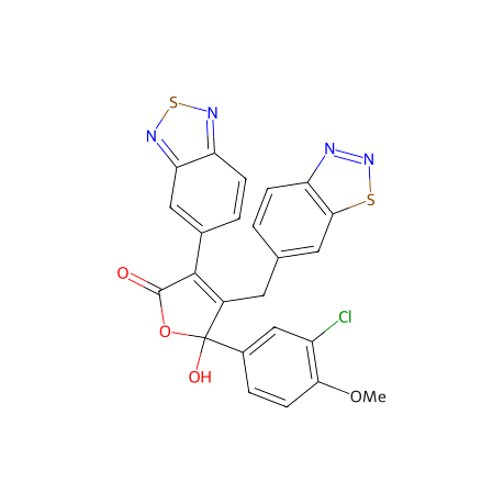 COc1ccc(C2(O)OC(=O)C(c3ccc4nsnc4c3)=C2Cc2ccc3nnsc3c2)cc1Cl